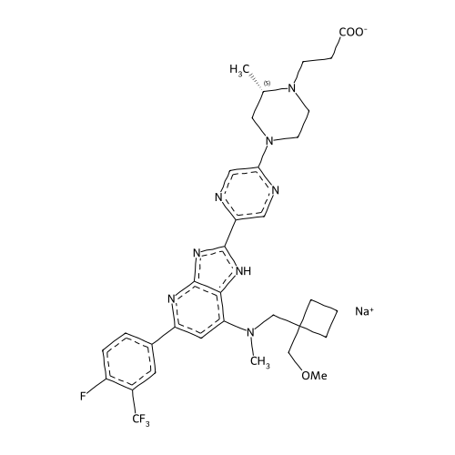 COCC1(CN(C)c2cc(-c3ccc(F)c(C(F)(F)F)c3)nc3nc(-c4cnc(N5CCN(CCC(=O)[O-])[C@@H](C)C5)cn4)[nH]c23)CCC1.[Na+]